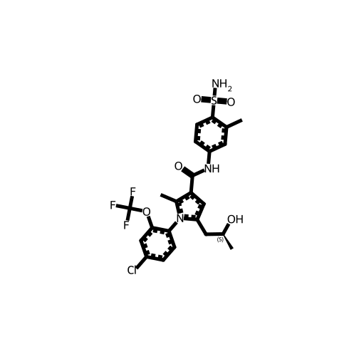 Cc1cc(NC(=O)c2cc(C[C@H](C)O)n(-c3ccc(Cl)cc3OC(F)(F)F)c2C)ccc1S(N)(=O)=O